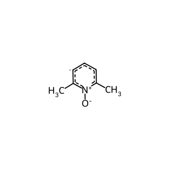 Cc1[c]ccc(C)[n+]1[O-]